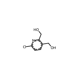 OCc1ccc(Cl)nc1CO